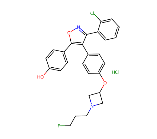 Cl.Oc1ccc(-c2onc(-c3ccccc3Cl)c2-c2ccc(OC3CN(CCCF)C3)cc2)cc1